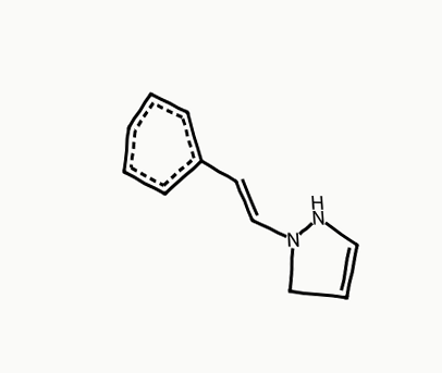 C1=CNN(C=Cc2ccccc2)C1